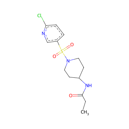 CCC(=O)NC1CCN(S(=O)(=O)c2ccc(Cl)nc2)CC1